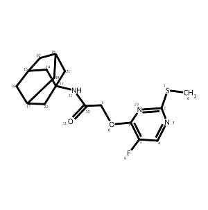 CSc1ncc(F)c(OCC(=O)NC23CC4CC(CC(C4)C2)C3)n1